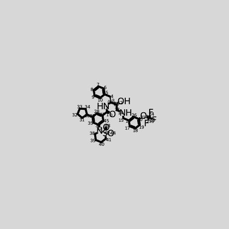 O=C(N[C@@H](Cc1ccccc1)[C@H](O)CNCc1cccc(OC(F)(F)F)c1)c1cc(C2CCCC2)cc(N2CCCCS2(=O)=O)c1